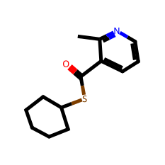 Cc1ncccc1C(=O)SC1CCCCC1